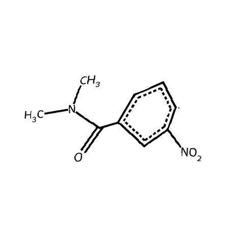 CN(C)C(=O)c1cc[c]c([N+](=O)[O-])c1